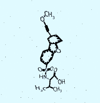 COC#Cc1ccc2oc3cc(S(=O)(=O)N[C@H](C(=O)O)C(C)C)ccc3c2c1